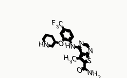 Cc1c(C(N)=O)sc2ncnc(Nc3ccc(C(F)(F)F)cc3OC3CCCNC3)c12